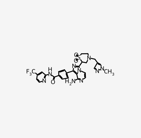 Cn1cc(CN2CCS(=O)(=O)C(c3nc(-c4ccc(C(=O)Nc5cc(C(F)(F)F)ccn5)cc4)c4c(N)nccn34)C2)cn1